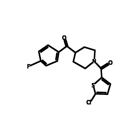 O=C(c1ccc(F)cc1)C1CCN(C(=O)c2ccc(Cl)s2)CC1